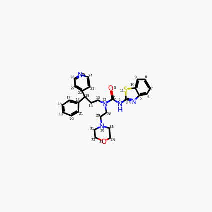 O=C(Nc1nc2ccccc2s1)N(CCC(c1ccccc1)c1ccncc1)CCN1CCOCC1